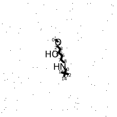 [CH2]OCC[C@@H](O)CCCNCC(C)(C)C